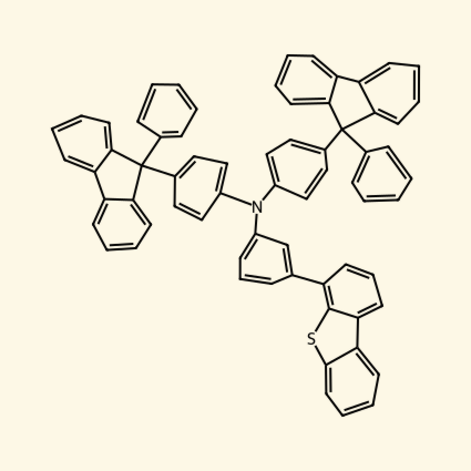 c1ccc(C2(c3ccc(N(c4ccc(C5(c6ccccc6)c6ccccc6-c6ccccc65)cc4)c4cccc(-c5cccc6c5sc5ccccc56)c4)cc3)c3ccccc3-c3ccccc32)cc1